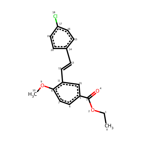 CCOC(=O)c1ccc(OC)c(/C=C/c2ccc(Cl)cc2)c1